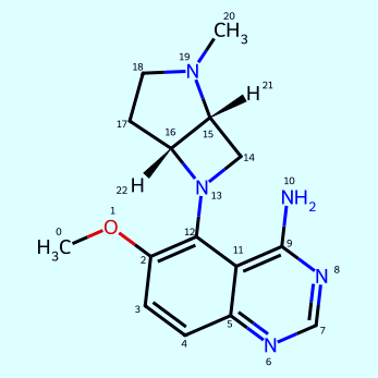 COc1ccc2ncnc(N)c2c1N1C[C@@H]2[C@H]1CCN2C